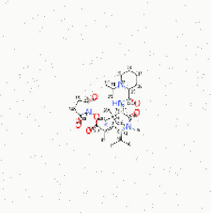 C/C(=C\[C@H](C(C)C)N(C)C(=O)[C@@H](NC(=O)C1CCCCN1C(C)C)C(C)(C)C)C(=O)ON1C(=O)CCC1=O